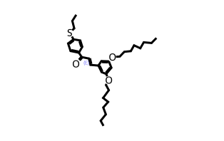 CCCCCCCCOc1cc(/C=C/C(=O)c2ccc(SCCC)cc2)cc(OCCCCCCCC)c1